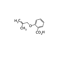 C=C(C)COc1ccccc1C(=O)O